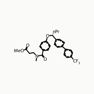 CCC[C@@H](Oc1ccc(C(=O)N(C)CCC(=O)OC)cc1)c1ccc(-c2ccc(C(F)(F)F)cc2)cc1